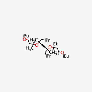 CCC(C)OCCC(C)(CC)OC(C)(C#CC(C)(CC(C)C)OC(C)(CC)CCOC(C)CC)CC(C)C